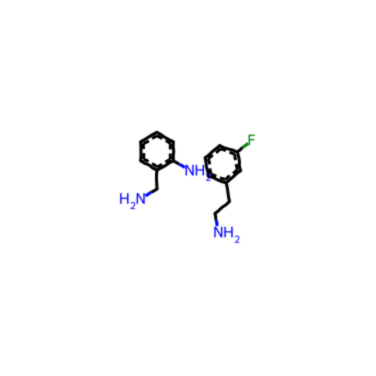 NCCc1cccc(F)c1.NCc1ccccc1N